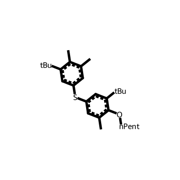 CCCCCOc1c(C)cc(Sc2cc(C)c(C)c(C(C)(C)C)c2)cc1C(C)(C)C